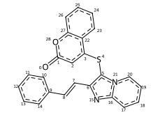 O=c1cc(Sc2c(/C=C/c3ccccc3)nc3ccccn23)c2ccccc2o1